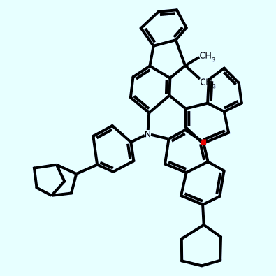 CC1(C)c2ccccc2-c2ccc(N(c3ccc(C4CC5CCC4C5)cc3)c3ccc4ccc(C5CCCCC5)cc4c3)c(-c3cccc4ccccc34)c21